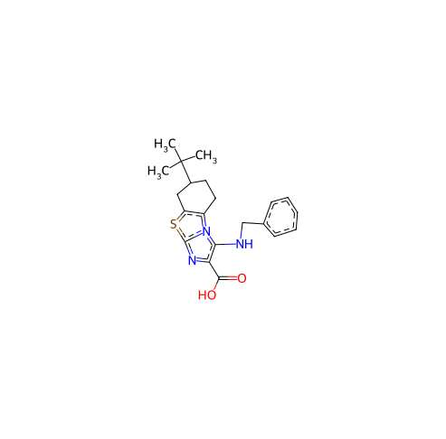 CC(C)(C)C1CCc2c(sc3nc(C(=O)O)c(NCc4ccccc4)n23)C1